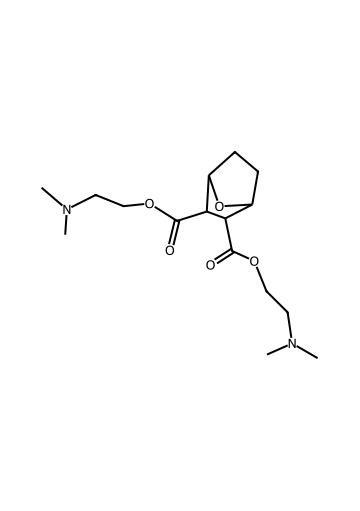 CN(C)CCOC(=O)C1C2CCC(O2)C1C(=O)OCCN(C)C